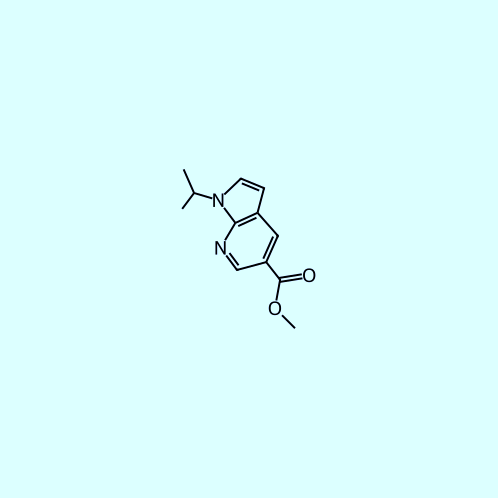 COC(=O)c1cnc2c(ccn2C(C)C)c1